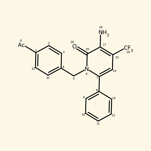 CC(=O)c1ccc(Cn2c(-c3ccccc3)cc(C(F)(F)F)c(N)c2=O)cc1